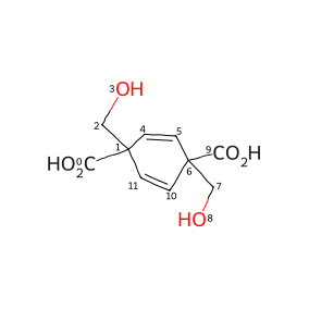 O=C(O)C1(CO)C=CC(CO)(C(=O)O)C=C1